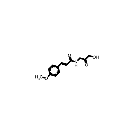 COc1ccc(C=CC(=O)NCC(=O)CO)cc1